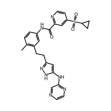 Cc1ccc(NC(=O)c2cc(S(=O)(=O)C3CC3)ccn2)cc1CCc1cc(Nc2cnccn2)[nH]n1